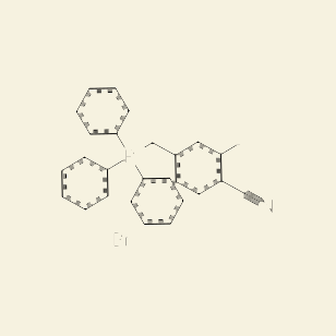 N#Cc1ccc(C[P+](c2ccccc2)(c2ccccc2)c2ccccc2)cc1F.[Br-]